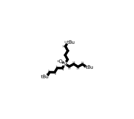 CC(C)(C)CCCC[Si]([O])(CCCCC(C)(C)C)CCCCC(C)(C)C